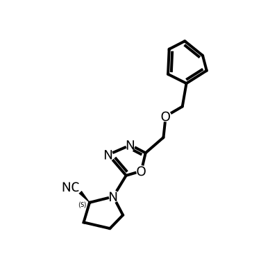 N#C[C@@H]1CCCN1c1nnc(COCc2ccccc2)o1